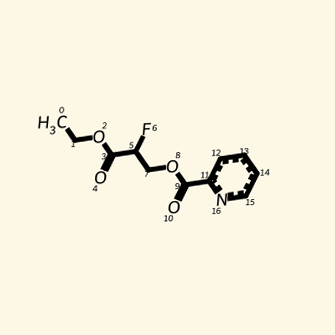 CCOC(=O)C(F)COC(=O)c1ccccn1